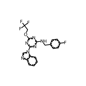 Fc1ccc(CNc2nc(OCC(F)(F)F)nc(-n3cnc4ccccc43)n2)cc1